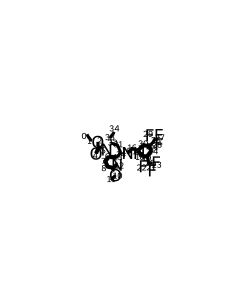 CCOC(=O)N1c2ccc(OC)nc2[C@@H](NCc2cc(C(F)(F)F)cc(C(F)(F)F)c2)C[C@H]1CC